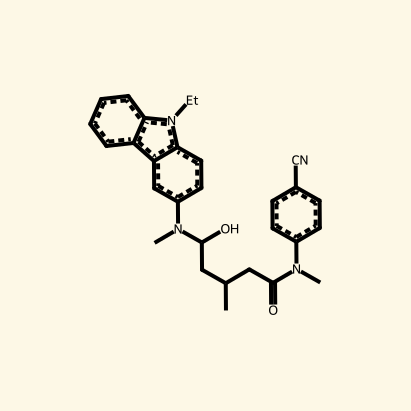 CCn1c2ccccc2c2cc(N(C)C(O)CC(C)CC(=O)N(C)c3ccc(C#N)cc3)ccc21